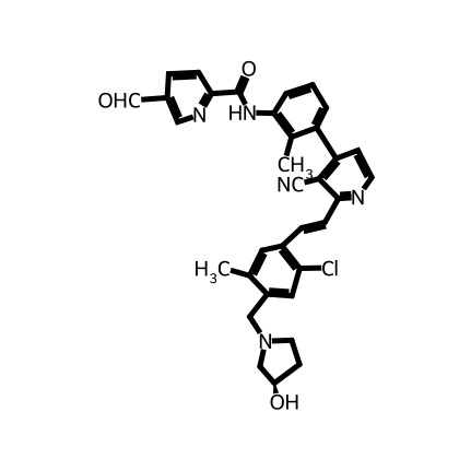 Cc1cc(/C=C/c2nccc(-c3cccc(NC(=O)c4ccc(C=O)cn4)c3C)c2C#N)c(Cl)cc1CN1CC[C@@H](O)C1